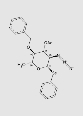 CC(=O)O[C@@H]1[C@@H](N=[N+]=[N-])[C@@H]([Se]c2ccccc2)O[C@H](C)[C@H]1OCc1ccccc1